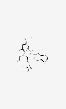 CCCN(CCOS(C)(=O)=O)c1c(C)cc([N+](=O)[O-])cc1S(=O)(=O)N1CCc2ccccc2C1